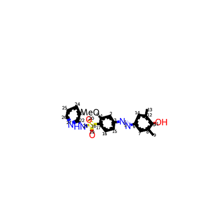 COc1cc(/N=N/c2cc(C)c(O)c(C)c2)ccc1S(=O)(=O)Nc1ccccn1